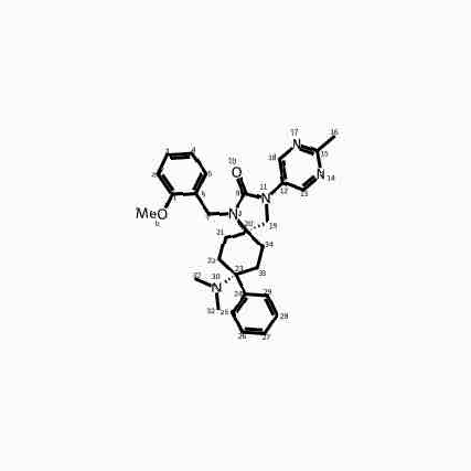 COc1ccccc1CN1C(=O)N(c2cnc(C)nc2)C[C@]12CC[C@@](c1ccccc1)(N(C)C)CC2